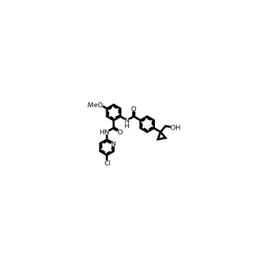 COc1ccc(NC(=O)c2ccc(C3(CO)CC3)cc2)c(C(=O)Nc2ccc(Cl)cn2)c1